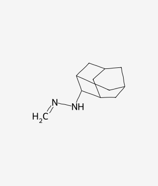 C=NNC1C2CC3CC(C2)CC1C3